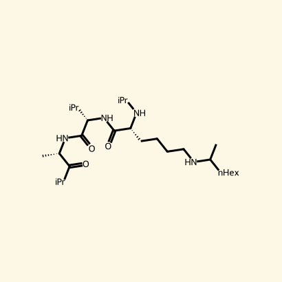 CCCCCCC(C)NCCCC[C@@H](NC(C)C)C(=O)N[C@H](C(=O)N[C@@H](C)C(=O)C(C)C)C(C)C